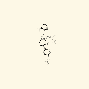 CC(C)(C)[Si](C)(C)On1c(-c2cccnc2N)nc2ccc(-c3ccc(OC(F)F)cn3)nc21